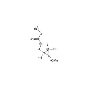 COC1[C@H]2CN(C(=O)OC(C)(C)C)C[C@@H]12